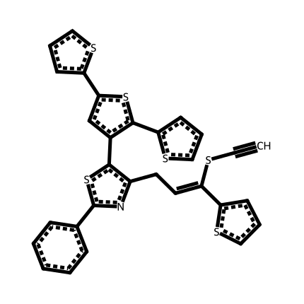 C#CS/C(=C\Cc1nc(-c2ccccc2)sc1-c1cc(-c2cccs2)sc1-c1cccs1)c1cccs1